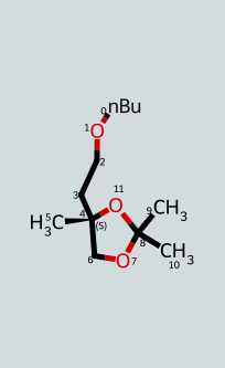 CCCCOCC[C@@]1(C)COC(C)(C)O1